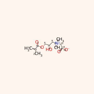 C=C(C)C(=O)OCC(O)C[N+](C)(C)CC(=O)[O-]